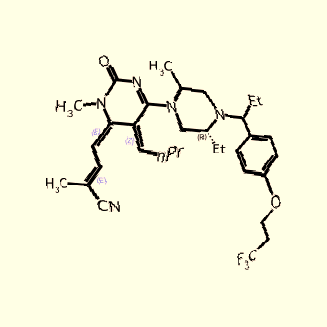 CCC\C=c1/c(N2C[C@@H](CC)N(C(CC)c3ccc(OCCC(F)(F)F)cc3)CC2C)nc(=O)n(C)/c1=C/C=C(\C)C#N